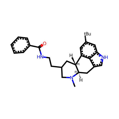 CN1CC(CCNC(=O)c2ccccc2)C[C@@H]2c3cc(C(C)(C)C)cc4[nH]cc(c34)C[C@H]21